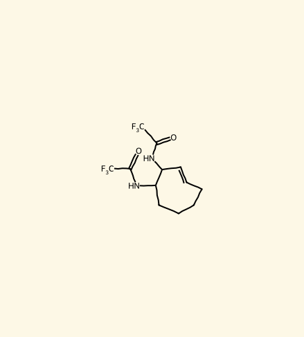 O=C(NC1/C=C/CCCCC1NC(=O)C(F)(F)F)C(F)(F)F